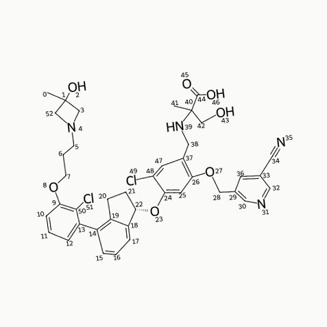 CC1(O)CN(CCCOc2cccc(-c3cccc4c3CC[C@@H]4Oc3cc(OCc4cncc(C#N)c4)c(CNC(C)(CO)C(=O)O)cc3Cl)c2Cl)C1